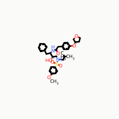 COc1ccc(S(=O)(=O)N(CC(C)C)C[C@@H](O)C(Cc2ccccc2)NC(=O)Cc2ccc(O[C@@H]3CCOC3)cc2)cc1